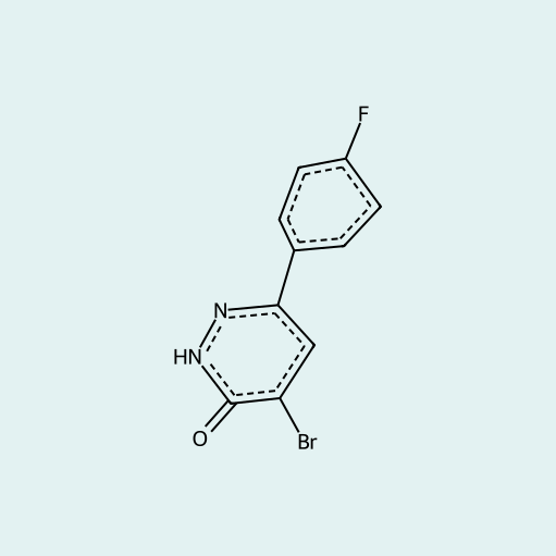 O=c1[nH]nc(-c2ccc(F)cc2)cc1Br